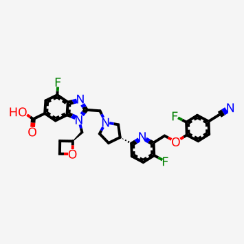 N#Cc1ccc(OCc2nc([C@@H]3CCN(Cc4nc5c(F)cc(C(=O)O)cc5n4C[C@@H]4CCO4)C3)ccc2F)c(F)c1